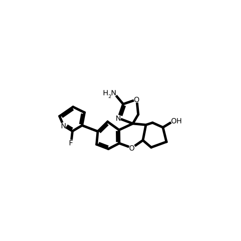 NC1=NC2(CO1)c1cc(-c3cccnc3F)ccc1OC1CCC(O)CC12